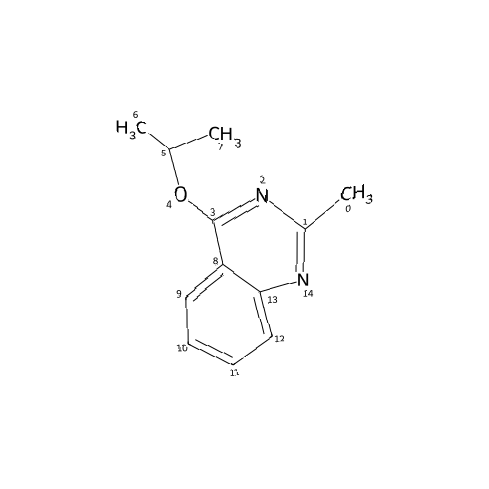 Cc1nc(OC(C)C)c2ccccc2n1